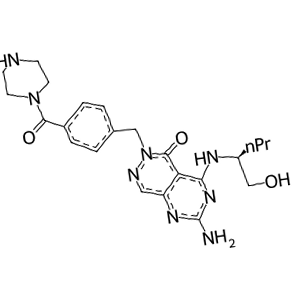 CCC[C@@H](CO)Nc1nc(N)nc2cnn(Cc3ccc(C(=O)N4CCNCC4)cc3)c(=O)c12